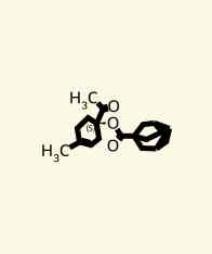 CC(=O)[C@@]1(OC(=O)C23CC4CC(C2)C(C4)C3)CC=C(C)CC1